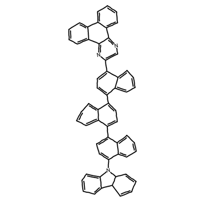 C1=CC2c3ccccc3N(c3ccc(-c4ccc(-c5ccc(-c6cnc7c8ccccc8c8ccccc8c7n6)c6ccccc56)c5ccccc45)c4ccccc34)C2C=C1